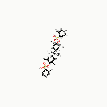 Cc1ccccc1S(=O)(=O)Oc1c(C)cc(C(c2cc(C)c(OS(=O)(=O)c3ccccc3C)c(C)c2)(C(F)(F)F)C(F)(F)F)cc1C